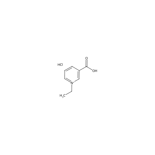 CC[n+]1cccc(C(=O)O)c1.Cl